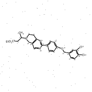 CCOC(=O)CC(C)N1CCc2nc(-c3ccc(OCc4ccc(Cl)c(Cl)c4)cc3)ncc2C1